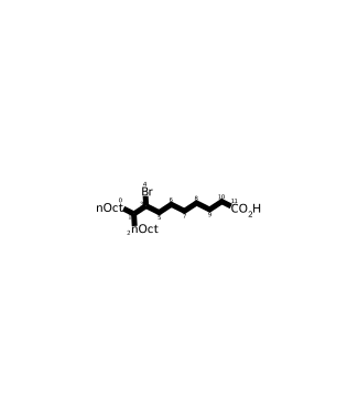 CCCCCCCCC(CCCCCCCC)C(Br)CCCCCCC(=O)O